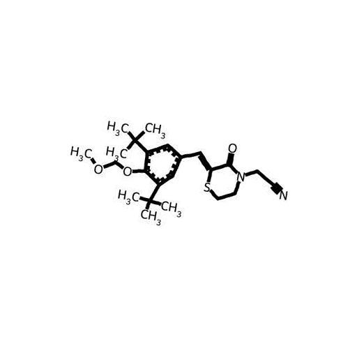 COCOc1c(C(C)(C)C)cc(C=C2SCCN(CC#N)C2=O)cc1C(C)(C)C